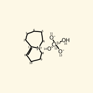 C1=C2CCCCCN2CCC1.[O-][Cl+3]([O-])([O-])O